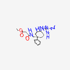 CCOC(=O)CC(=O)NC[C@]1(c2ccccc2)CC[C@H](N/C(=N/C#N)NC)CC1